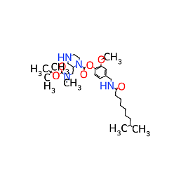 COc1cc(CNC(=O)CCCCCCC(C)C)ccc1OC(=O)N1CCNCC1CN(C)C(=O)OC(C)(C)C